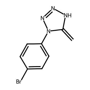 C=C1NN=NN1c1ccc(Br)cc1